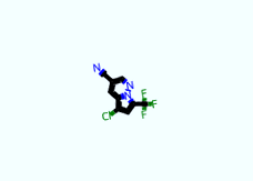 N#Cc1cnn2c(C(F)(F)F)cc(Cl)c2c1